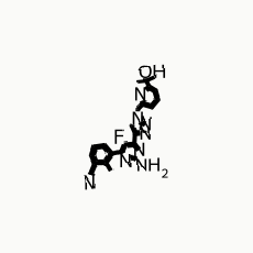 Cc1c(C#N)cccc1-c1nc(N)nc(-c2cn(Cc3cccc(C(C)(C)O)n3)nn2)c1F